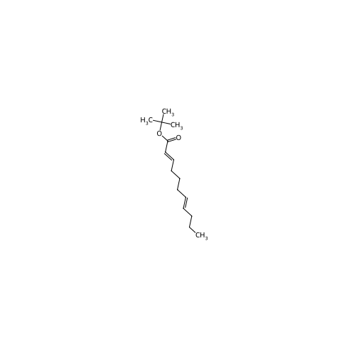 CCCC=CCCCC=CC(=O)OC(C)(C)C